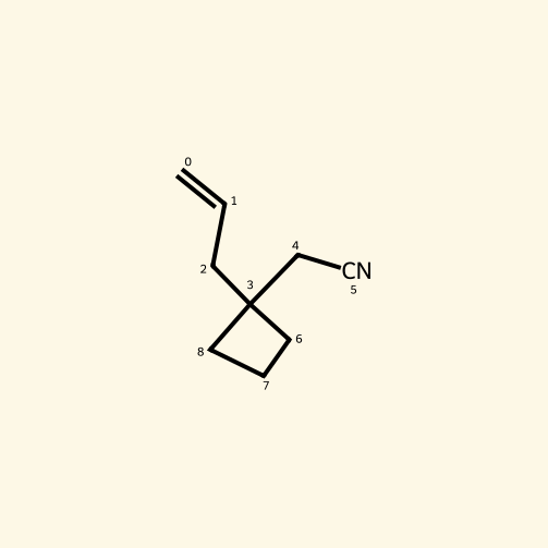 C=CCC1(CC#N)CCC1